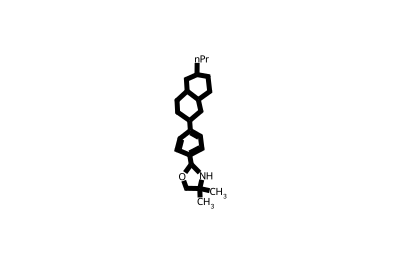 CCCC1CCC2CC(c3ccc(C4NC(C)(C)CO4)cc3)CCC2C1